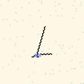 CCCCCCCCCCCCCCCCCCC1N(CCC)C=CN1CCCCCCCC